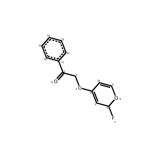 O=C(COC1=CC(F)OC=C1)c1ccccc1